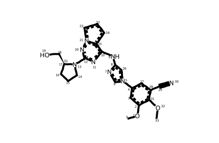 COc1cc(-n2cnc(Nc3nc(N4CCC[C@H]4CO)nn4cccc34)c2)cc(C#N)c1OC